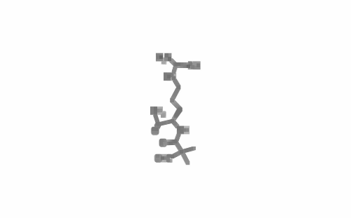 CC(C)(C=O)C(=O)N[C@H](CCCNC(=N)N)C(N)=O